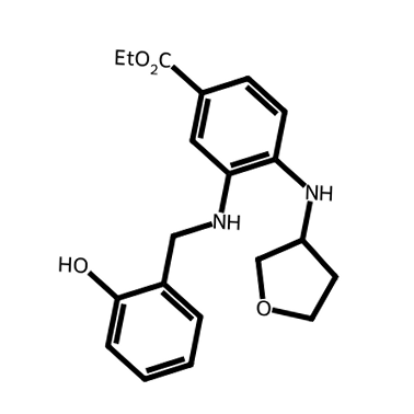 CCOC(=O)c1ccc(NC2CCOC2)c(NCc2ccccc2O)c1